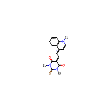 CCN1C=C/C(=C\C=C2C(=O)N(CC)C(=S)N(CC)C2=O)C2=C1C=CCC2